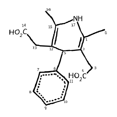 CC1=C(CC(=O)O)C(c2ccccc2)C(CC(=O)O)=C(C)N1